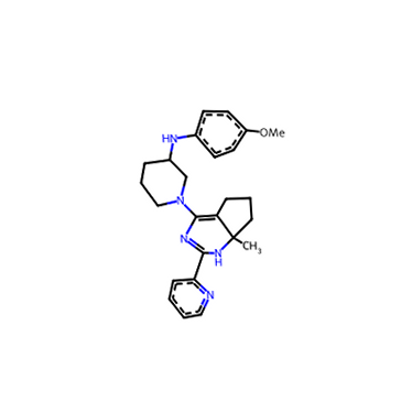 COc1ccc(NC2CCCN(C3=C4CCCC4(C)NC(c4ccccn4)=N3)C2)cc1